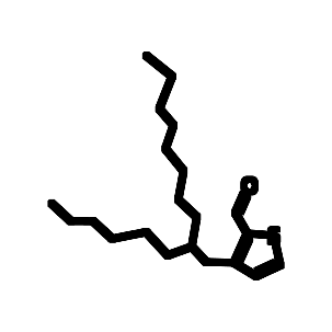 CCCCCCCCC(CCCCCC)Cc1ccsc1C=O